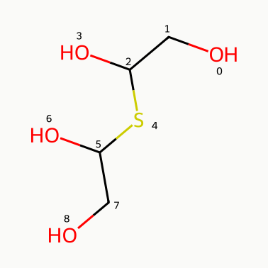 OCC(O)SC(O)CO